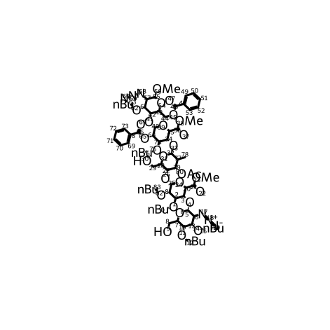 CCCCOC1[C@H](O[C@H]2OC(CO)[C@@H](OCCCC)[C@H](OCCCC)C2N=[N+]=[N-])C(C(=O)OC)O[C@@H](O[C@@H]2C(CO)O[C@@H](O[C@H]3C(C(=O)OC)O[C@@H](O[C@@H]4C(COC(=O)c5ccccc5)O[C@H](OC)C(N=[N+]=[N-])[C@H]4OCCCC)[C@@H](OC(=O)c4ccccc4)C3OCCCC)C(C)[C@H]2OC(C)=O)[C@H]1OCCCC